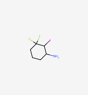 NC1CCCC(F)(F)C1I